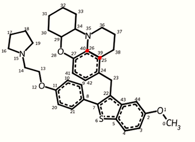 COc1ccc2sc(-c3ccc(OCCN4CCCC4)cc3)c(Cc3ccc(OC4CCCCC4N4CCCCC4)cc3)c2c1